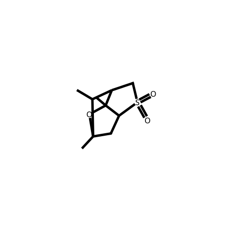 CC1C2CS(=O)(=O)C3CC1(C)OC23C